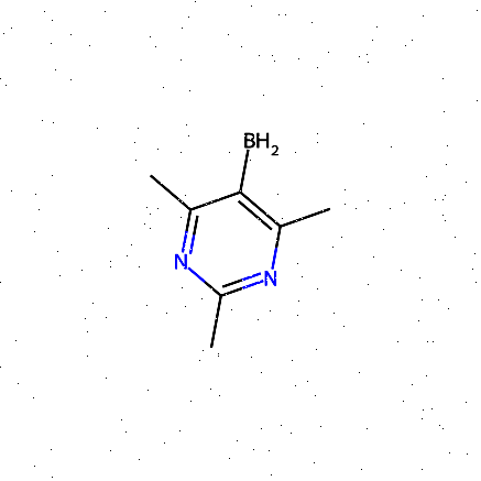 Bc1c(C)nc(C)nc1C